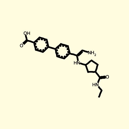 CCNC(=O)C1CCC(N/C(=C\N)c2ccc(-c3ccc(C(=O)O)cc3)cc2)C1